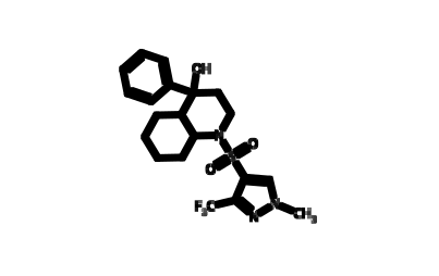 Cn1cc(S(=O)(=O)N2CCC(O)(c3ccccc3)C3CCCCC32)c(C(F)(F)F)n1